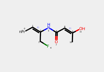 CCC/C=C(\CF)NC(=O)/C=C(\C)O